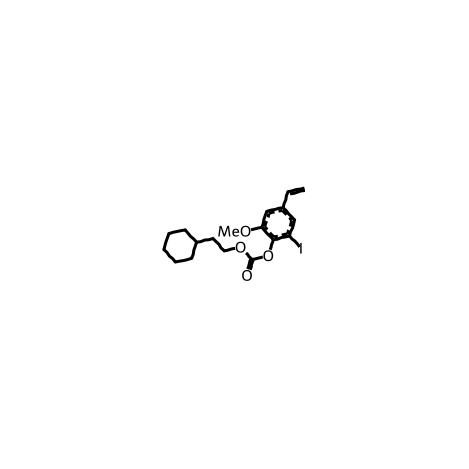 C=Cc1cc(I)c(OC(=O)OCCC2CCCCC2)c(OC)c1